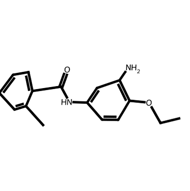 CCOc1ccc(NC(=O)c2ccccc2C)cc1N